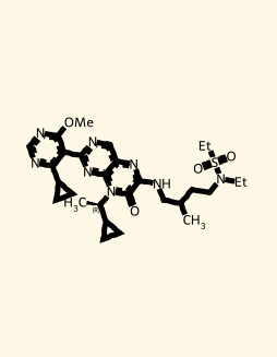 CCN(CCC(C)CNc1nc2cnc(-c3c(OC)ncnc3C3CC3)nc2n([C@H](C)C2CC2)c1=O)S(=O)(=O)CC